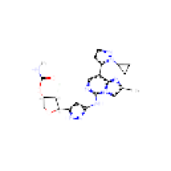 CC(C)NC(=O)O[C@@H]1CO[C@H](c2cc(Nc3ncc(-c4ccnn4C4CC4)c4nc(C#N)cn34)n[nH]2)[C@H]1F